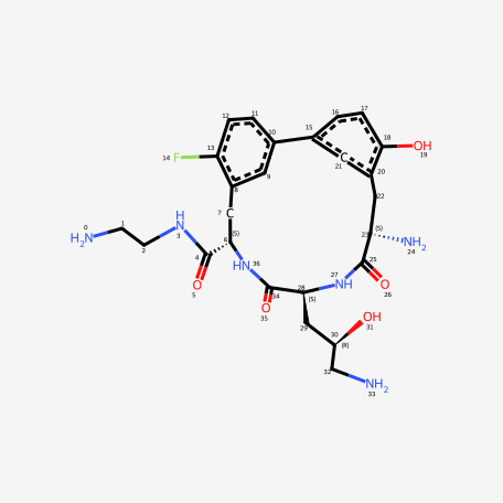 NCCNC(=O)[C@@H]1Cc2cc(ccc2F)-c2ccc(O)c(c2)C[C@H](N)C(=O)N[C@@H](C[C@@H](O)CN)C(=O)N1